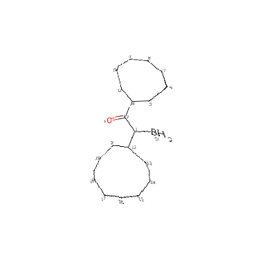 BC(C(=O)C1CCCCCCC1)C1CCCCCCCC1